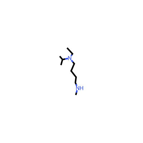 CCN(CCCCNC)C(C)C